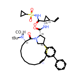 C=C[C@@H]1C[C@]1(NC(=O)[C@@H]1C[C@@]2(c3ccc(-c4ccccc4)cc3)CN1C(=O)[C@@H](N(C(=O)O)C(C)(C)C)CCCCCC/C=C\CS2)C(=O)NS(=O)(=O)C1CC1